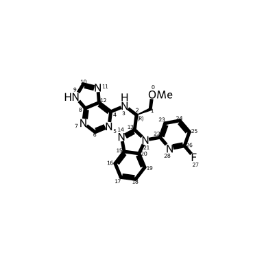 COC[C@H](Nc1ncnc2[nH]cnc12)c1nc2ccccc2n1-c1cccc(F)n1